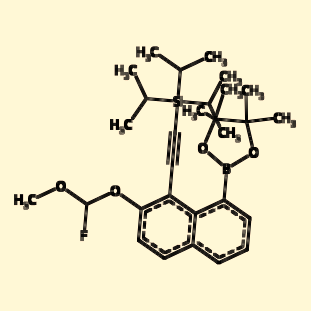 COC(F)Oc1ccc2cccc(B3OC(C)(C)C(C)(C)O3)c2c1C#C[Si](C(C)C)(C(C)C)C(C)C